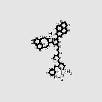 C=C/C=C\C(=C/CC(/C=C\C)=C/C=C/c1cc(-c2cc3ccc4cccc5ccc(c2)c3c45)nc(-c2ccc3ccc4cccc(ccc2C)c4c3)c1)[C@H](N)CC1=CCCC(C)=C1